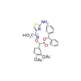 CC(=O)Oc1ccc(C(O/N=C(\C(=O)O)c2csc(N)n2)C(=O)OC(c2ccccc2)c2ccccc2)cc1OC(C)=O